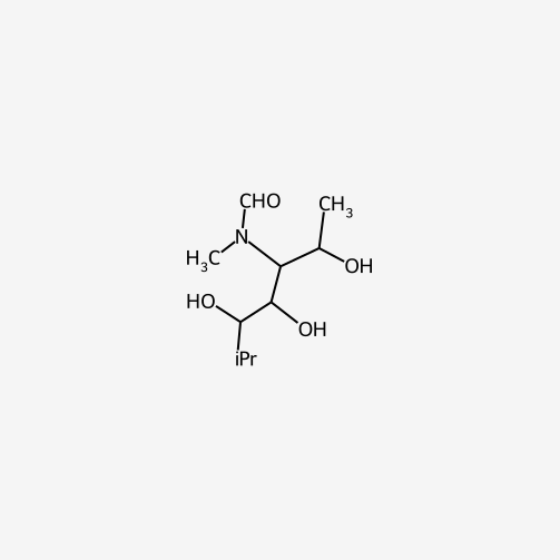 CC(C)C(O)C(O)C(C(C)O)N(C)C=O